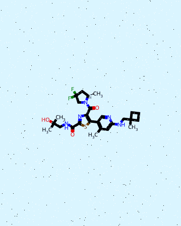 Cc1cc(NCC2(C)CCC2)ncc1-c1sc(C(=O)NCC(C)(C)O)nc1C(=O)N1CC(F)(F)C[C@@H]1C